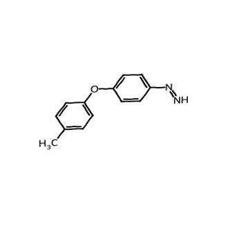 Cc1ccc(Oc2ccc(N=N)cc2)cc1